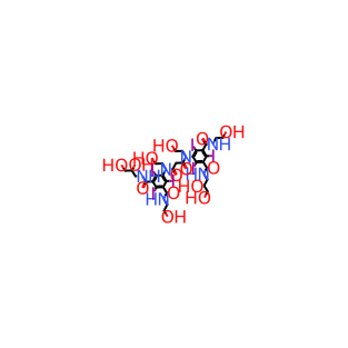 O=C(NCCO)c1c(I)c(C(=O)NCC(O)CO)c(I)c(N(CCO)C(=O)CC(=O)N(CCO)c2c(I)c(C(=O)NCCO)c(I)c(C(=O)NCC(O)CO)c2I)c1I